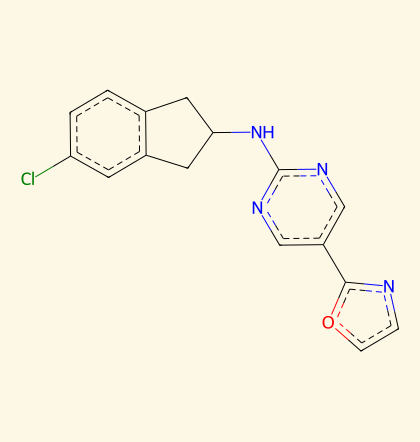 Clc1ccc2c(c1)CC(Nc1ncc(-c3ncco3)cn1)C2